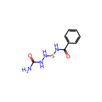 NC(=O)NNSNC(=O)c1ccccc1